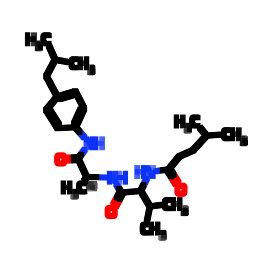 CC(C)CCC(=O)NC(C(=O)N[C@@H](C)C(=O)Nc1ccc(CC(C)C)cc1)C(C)C